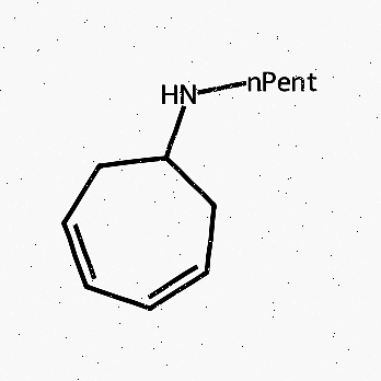 CCCCCNC1CC=CC=CC1